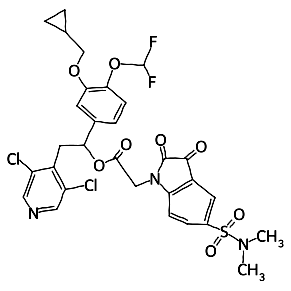 CN(C)S(=O)(=O)c1ccc2c(c1)C(=O)C(=O)N2CC(=O)OC(Cc1c(Cl)cncc1Cl)c1ccc(OC(F)F)c(OCC2CC2)c1